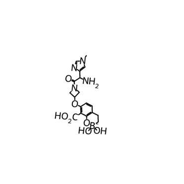 Cn1cnc(C(N)C(=O)N2CC(Oc3ccc4c(c3C(=O)O)O[B-](O)(O)CC4)C2)c1